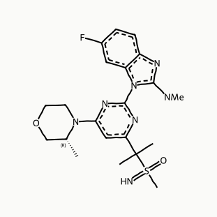 CNc1nc2ccc(F)cc2n1-c1nc(N2CCOC[C@H]2C)cc(C(C)(C)S(C)(=N)=O)n1